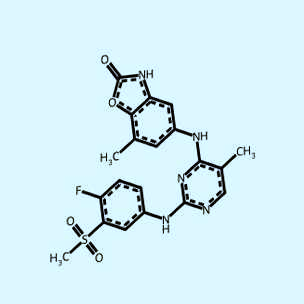 Cc1cnc(Nc2ccc(F)c(S(C)(=O)=O)c2)nc1Nc1cc(C)c2oc(=O)[nH]c2c1